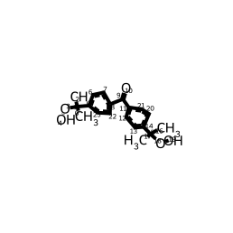 CC(C)(OO)c1ccc(C(=O)c2ccc(C(C)(C)OO)cc2)cc1